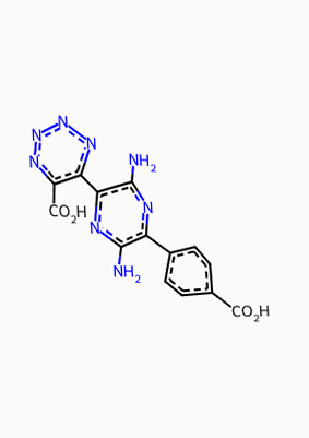 Nc1nc(-c2nnnnc2C(=O)O)c(N)nc1-c1ccc(C(=O)O)cc1